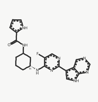 O=C(NC1CCC[C@@H](Nc2nc(-c3c[nH]c4ncncc34)ncc2F)C1)c1ccc[nH]1